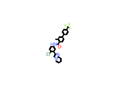 Cc1cc(-c2ccc(C(F)(F)F)cc2)ccc1C(=O)Nc1ccc(Cl)c(-c2cn3ccccc3n2)c1